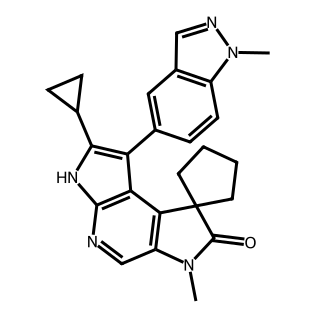 CN1C(=O)C2(CCCC2)c2c1cnc1[nH]c(C3CC3)c(-c3ccc4c(cnn4C)c3)c21